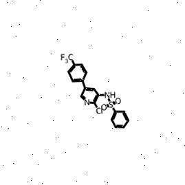 O=S(=O)(Nc1cc(-c2ccc(C(F)(F)F)cc2)cnc1Cl)c1ccccc1